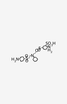 Nc1ccc(S(=O)(=O)CCN(CCOOSc2ccc(N)c(S(=O)(=O)O)c2)c2ccccc2)cc1